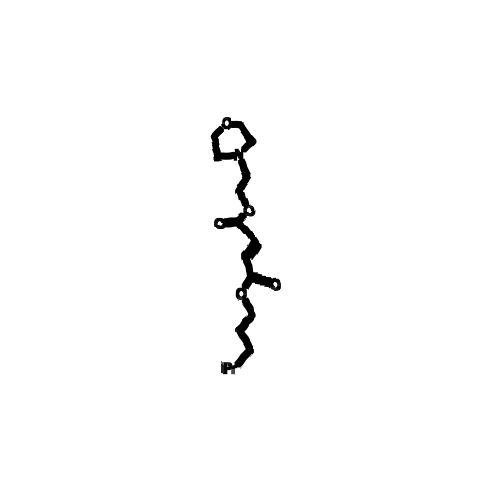 CC(C)CCCOC(=O)/C=C/C(=O)OCCN1CCOCC1